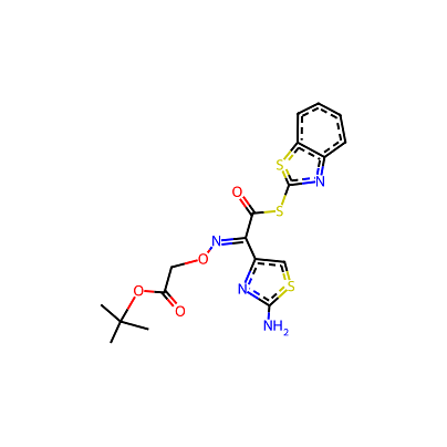 CC(C)(C)OC(=O)CO/N=C(/C(=O)Sc1nc2ccccc2s1)c1csc(N)n1